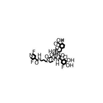 O=C(NCCCN1CCN(C(=O)N[C@@H](C(=O)N[C@H]2Cc3ccc(F)c(C(=O)O)c3OB2O)c2cc(F)c(O)c(O)c2Cl)C(=O)C1=O)c1cc(F)ncc1F